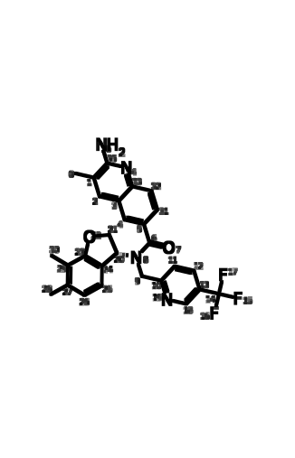 Cc1cc2cc(C(=O)N(Cc3ccc(C(F)(F)F)cn3)[C@H]3COc4c3ccc(C)c4C)ccc2nc1N